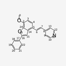 COc1ccc(C=Cc2ccncc2)c2cc(-c3ccccc3)oc12